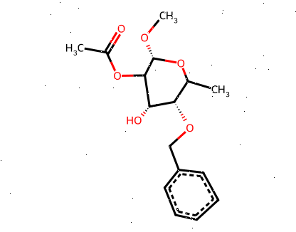 CO[C@@H]1OC(C)[C@H](OCc2ccccc2)[C@H](O)C1OC(C)=O